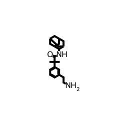 CC(C)(C(=O)NC1C2CC3CC(C2)CC1C3)c1cccc(CCN)c1